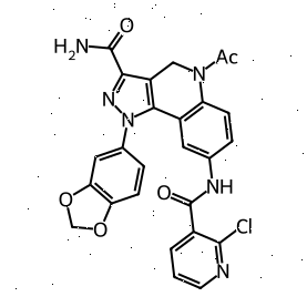 CC(=O)N1Cc2c(C(N)=O)nn(-c3ccc4c(c3)OCO4)c2-c2cc(NC(=O)c3cccnc3Cl)ccc21